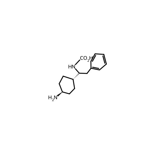 N[C@H]1CC[C@H](C(Cc2ccccc2)NC(=O)O)CC1